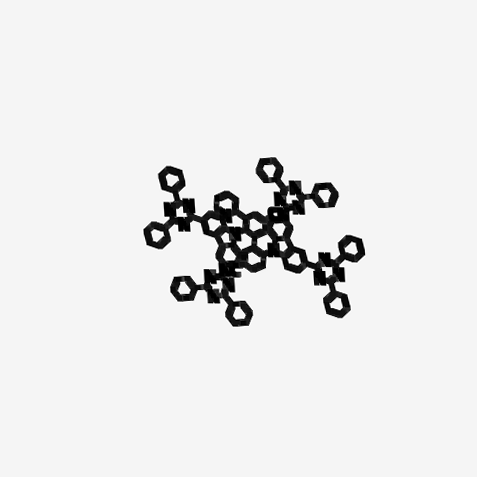 N#Cc1ccc(-n2c3ccc(-c4nc(-c5ccccc5)nc(-c5ccccc5)n4)cc3c3cc(-c4nc(-c5ccccc5)nc(-c5ccccc5)n4)ccc32)c(-c2cc(C#N)cc(-c3ccccn3)c2-n2c3ccc(-c4nc(-c5ccccc5)nc(-c5ccccc5)n4)cc3c3cc(-c4nc(-c5ccccc5)nc(-c5ccccc5)n4)ccc32)c1